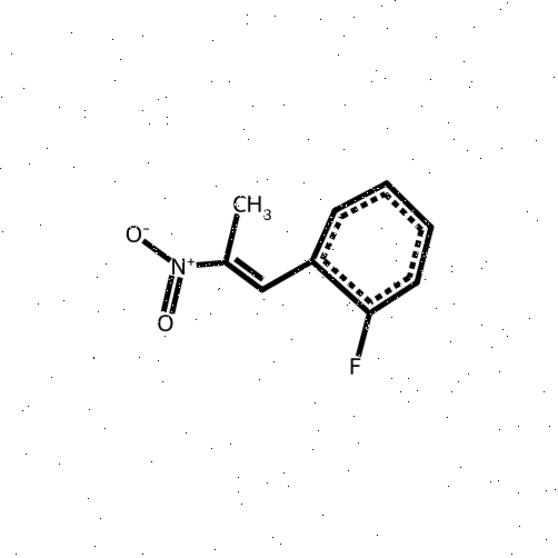 C/C(=C\c1ccccc1F)[N+](=O)[O-]